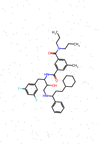 CCCN(CCC)C(=O)c1cc(C)cc(C(=O)NC(Cc2cc(F)cc(F)c2)C(O)CNC(CCC2CCCCC2)c2ccccc2)c1